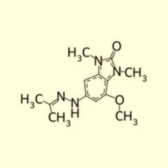 COc1cc(NN=C(C)C)cc2c1n(C)c(=O)n2C